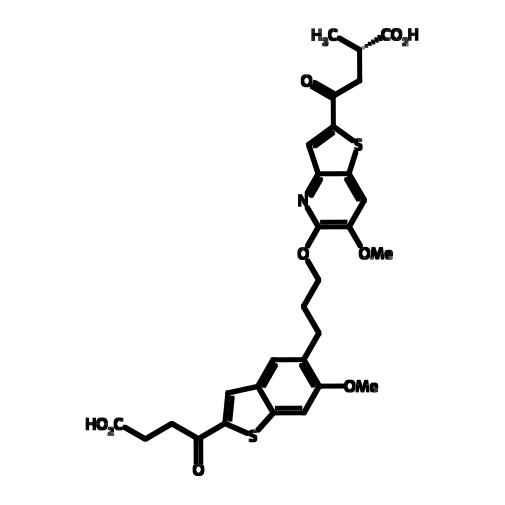 COc1cc2sc(C(=O)CCC(=O)O)cc2cc1CCCOc1nc2cc(C(=O)C[C@H](C)C(=O)O)sc2cc1OC